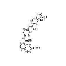 COc1cnc2cccc(C(O)CN3CCN(CC(O)c4ccc5c(c4)NC(=O)CS5)CC3)c2c1